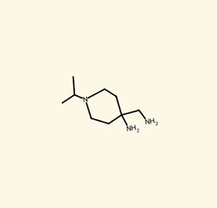 CC(C)N1CCC(N)(CN)CC1